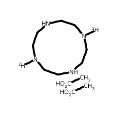 CC(=O)O.CC(=O)O.[2H]N1CCNCCN([2H])CCNCC1